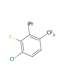 CC(C)c1c(C(F)(F)F)ccc(Cl)c1F